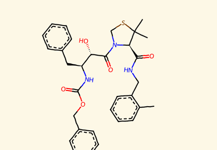 Cc1ccccc1CNC(=O)[C@H]1N(C(=O)[C@@H](O)[C@H](Cc2ccccc2)NC(=O)OCc2ccccc2)CSC1(C)C